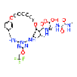 CNC(=O)C(=O)NC[C@H](NC(=O)C1=C2C=C(CC1C)Nc1nc(nc(OCC(F)(F)F)n1)NCc1ccc(cc1)OCCCCCCO2)C(=O)O